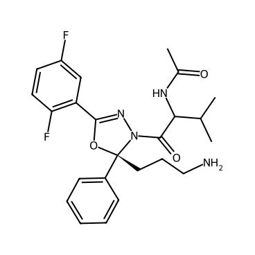 CC(=O)NC(C(=O)N1N=C(c2cc(F)ccc2F)O[C@@]1(CCCN)c1ccccc1)C(C)C